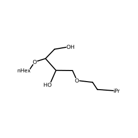 CCCCCCOC(CO)C(O)COCCC(C)C